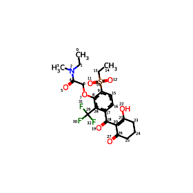 CCN(C)C(=O)COc1c(S(=O)(=O)CC)ccc(C(=O)C2=C(O)CCCC2=O)c1C(F)(F)F